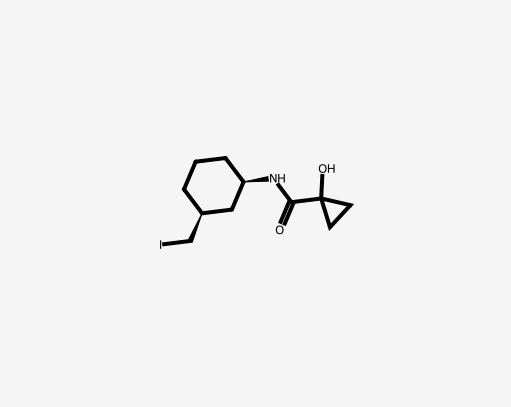 O=C(N[C@@H]1CCC[C@H](CI)C1)C1(O)CC1